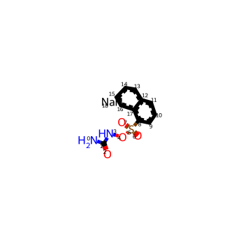 NC(=O)NOS(=O)(=O)c1cccc2ccccc12.[NaH]